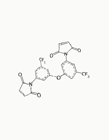 O=C1C=CC(=O)N1c1cc(Oc2cc(N3C(=O)C=CC3=O)cc(C(F)(F)F)c2)cc(C(F)(F)F)c1